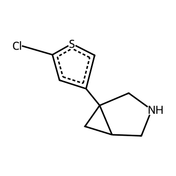 Clc1cc(C23CNCC2C3)cs1